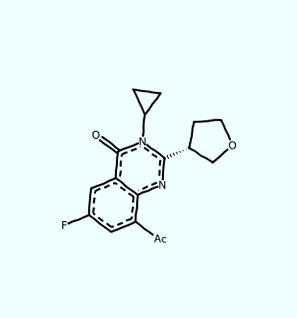 CC(=O)c1cc(F)cc2c(=O)n(C3CC3)c([C@@H]3CCOC3)nc12